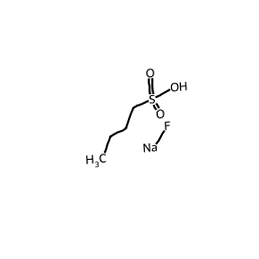 CCCCS(=O)(=O)O.[F][Na]